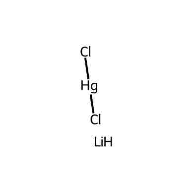 [Cl][Hg][Cl].[LiH]